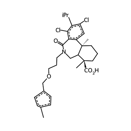 Cc1ccc(COCCCN2CC3[C@](C)(C(=O)O)CCC[C@]3(C)c3cc(Cl)c(C(C)C)c(Cl)c3C2=O)cc1